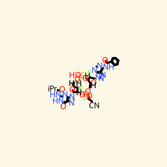 CC(C)C(=O)Nc1nc2c(ncn2[C@@H]2O[C@@H]3COP(O)(=S)O[C@H]4[C@H](F)[C@H](n5nnc6c(NC(=O)c7ccccc7)ncnc65)O[C@@H]4COP(=S)(OCCC#N)O[C@@H]2[C@@H]3F)c(=O)[nH]1